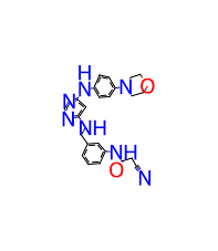 N#CCC(=O)Nc1cccc(CNc2cc(Nc3ccc(N4CCOCC4)cc3)ncn2)c1